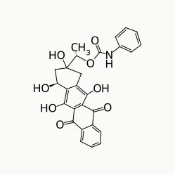 C[C@H](OC(=O)Nc1ccccc1)C1(O)Cc2c(O)c3c(c(O)c2[C@@H](O)C1)C(=O)c1ccccc1C3=O